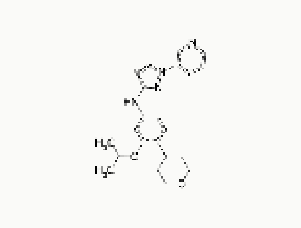 CC(C)Oc1cc(Nc2ncn(-c3cccnc3)n2)ccc1C1CCOCC1